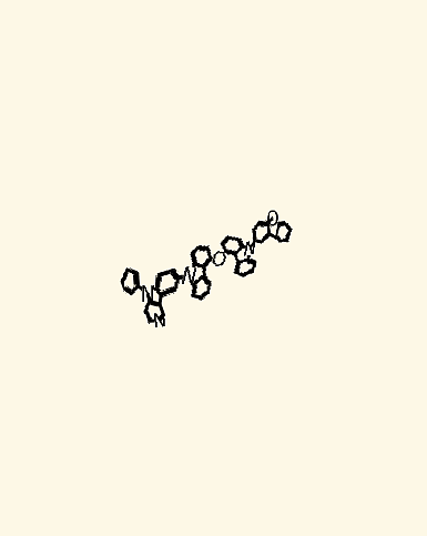 c1ccc(-n2c3ccncc3c3cc(-n4c5ccccc5c5c(Oc6cccc7c6c6ccccc6n7-c6ccc7oc8ccccc8c7c6)cccc54)ccc32)cc1